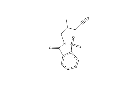 CC(CC#N)CN1C(=O)c2ccccc2S1(=O)=O